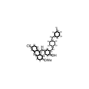 COc1ccc2nc3cc(Cl)ccc3c(Nc3ccc(O)c(CN4CCN(Cc5cccc(C)c5)CC4)c3)c2c1